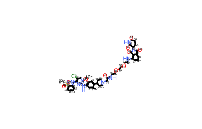 Cc1cc(Nc2ncc(Cl)c(Nc3ccccc3S(=O)(=O)C(C)C)n2)c(OC(C)C)cc1C1CCN(CC(=O)NCCOCCOCCNc2cccc3c2C(=O)N(C2CCC(=O)NC2=O)C3=O)CC1